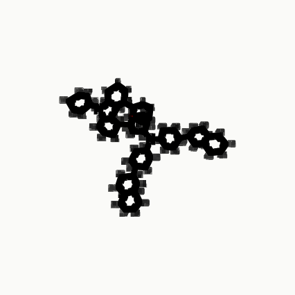 c1ccc(-c2cccc3c2c2c(-c4cccc(N(c5ccc(-c6ccc7ccccc7c6)cc5)c5ccc(-c6ccc7ccccc7c6)cc5)c4)cccc2n3-c2ccccc2)cc1